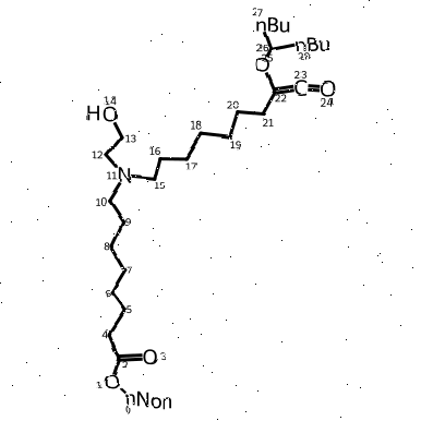 CCCCCCCCCOC(=O)CCCCCCCN(CCO)CCCCCCCC(=C=O)OC(CCCC)CCCC